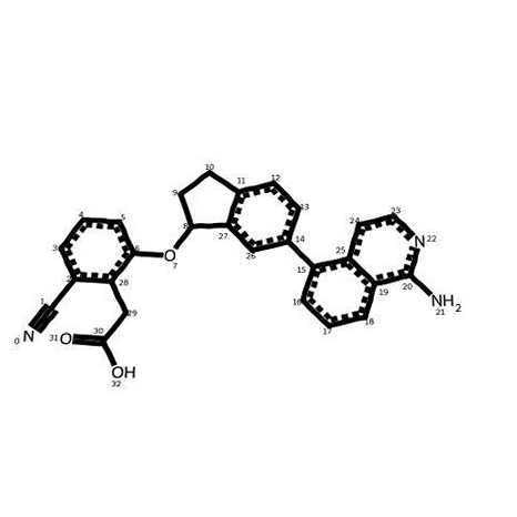 N#Cc1cccc(OC2CCc3ccc(-c4cccc5c(N)nccc45)cc32)c1CC(=O)O